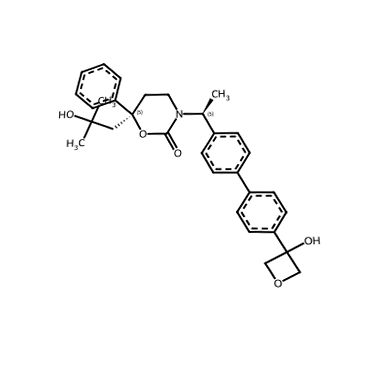 C[C@@H](c1ccc(-c2ccc(C3(O)COC3)cc2)cc1)N1CC[C@](CC(C)(C)O)(c2ccccc2)OC1=O